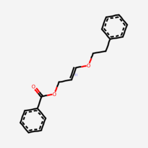 O=C(OC/C=C/OCCc1ccccc1)c1ccccc1